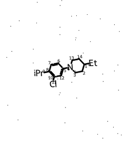 CCC1CCN(c2ccc(C(C)C)c(Cl)c2)CC1